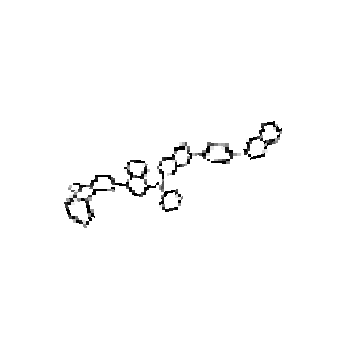 c1ccc(N(c2ccc3ccc(-c4ccc(-c5ccc6ccccc6c5)cc4)cc3c2)c2ccc(-c3ccc4oc5ccccc5c4c3)c3ccccc23)cc1